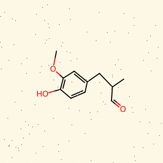 COc1cc(CC(C)C=O)ccc1O